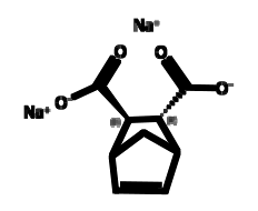 O=C([O-])[C@@H]1C2C=CC(C2)[C@H]1C(=O)[O-].[Na+].[Na+]